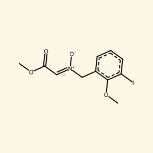 COC(=O)/C=[N+](\[O-])Cc1cccc(I)c1OC